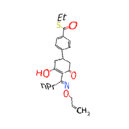 C=CCON=C(CCC)C1=C(O)CC(c2ccc(C(=O)SCC)cc2)CC1=O